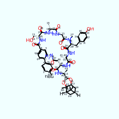 CCCCc1ccc(-c2ccc(C(=O)N[C@H](CO)C(=O)N[C@H](C)C(=O)NCC(=O)N(C)[C@@H](Cc3ccc(O)cc3)C(=O)N[C@@H](C)C(=O)N[C@@H](CC(N)=O)C(=O)N[C@@H](C)B3OC4C[C@@H]5C[C@@H](C5(C)C)[C@]4(C)O3)cc2)cc1